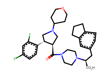 O=C(O)[C@H](Cc1ccc2c(c1)CCC2)N1CCN(C(=O)[C@@H]2CN(C3CCOCC3)C[C@H]2c2ccc(F)cc2F)CC1